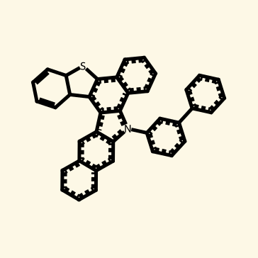 C1=CC2Sc3c(c4c5cc6ccccc6cc5n(-c5cccc(-c6ccccc6)c5)c4c4ccccc34)C2C=C1